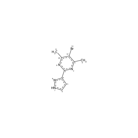 Cc1nc(-c2cc[nH]n2)nc(C)c1Br